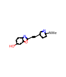 CNc1ccc(C#Cc2nc3ccc(O)cc3o2)cn1